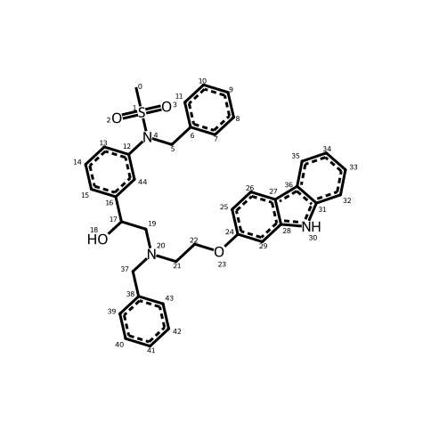 CS(=O)(=O)N(Cc1ccccc1)c1cccc(C(O)CN(CCOc2ccc3c(c2)[nH]c2ccccc23)Cc2ccccc2)c1